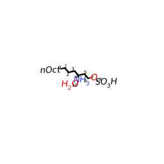 CCCCCCCCCCCCCCOS(=O)(=O)O.N.O